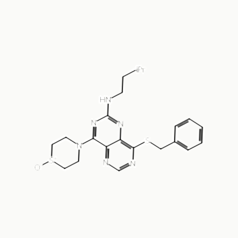 CC(C)CCNc1nc(N2CC[S+]([O-])CC2)c2ncnc(SCc3ccccc3)c2n1